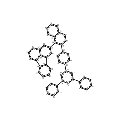 c1ccc(-c2nc(-c3ccccc3)nc(-c3ccc(-c4ccc5ccccc5c4-c4cc5c6c(cccc6c4)-c4ccccc4-5)cc3)n2)cc1